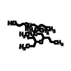 C=C.CCCC(CC)OC(CC)CCC.OCCO.[Li][CH2]CCC